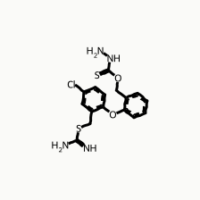 N=C(N)SCc1cc(Cl)ccc1Oc1ccccc1COC(=S)NN